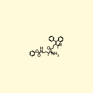 Cc1nc2ccccc2c(-c2ccccc2)c1CCC(=O)N(N)C(C)CCNC(=O)Oc1ccccc1